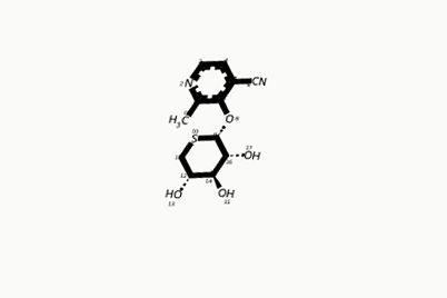 Cc1nccc(C#N)c1O[C@H]1SC[C@@H](O)[C@H](O)[C@H]1O